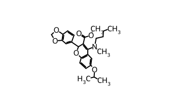 CCCCN(C)C1=C(C(=O)OC)C(c2ccc3c(c2)OCO3)Oc2ccc(OC(C)C)cc21